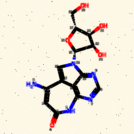 NC1=CC(=O)Nc2ncnc3c2c1cn3[C@@H]1O[C@H](CO)[C@@H](O)[C@H]1O